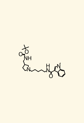 Cn1cc(C(=O)NCCCCCN2CCC(CNC(=O)OC(C)(C)C)C2)c2ccccc21